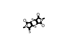 Cn1c(=O)c2sc3c(=O)n(C)c(=S)c3sc2c1=O